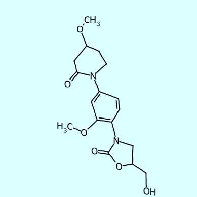 COc1cc(N2CCC(OC)CC2=O)ccc1N1CC(CO)OC1=O